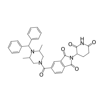 CC1CN(C(=O)c2ccc3c(c2)C(=O)N(C2CCC(=O)NC2=O)C3=O)CC(C)N1C(c1ccccc1)c1ccccc1